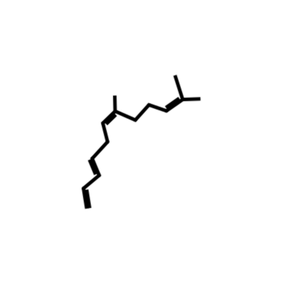 C=CC=CCC=C(C)CCC=C(C)C